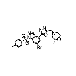 Cc1ccc(S(=O)(=O)n2ncc3c(-c4nnc(CN5C[C@@H](C)O[C@@H](C)C5)o4)cc(Br)cc32)cc1